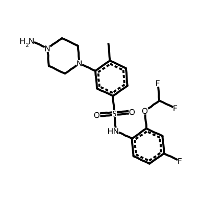 Cc1ccc(S(=O)(=O)Nc2ccc(F)cc2OC(F)F)cc1N1CCN(N)CC1